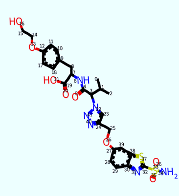 CC(C)C(C(=O)NC(Cc1ccc(OCCO)cc1)C(=O)O)n1cc(COc2ccc3nc(S(N)(=O)=O)sc3c2)nn1